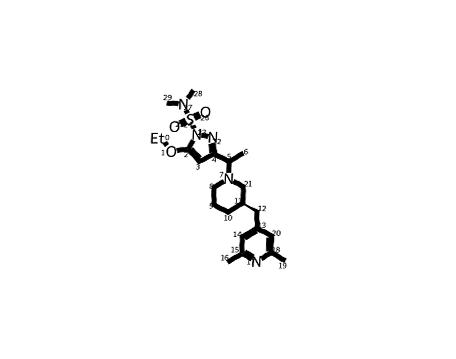 CCOc1cc(C(C)N2CCC[C@H](Cc3cc(C)nc(C)c3)C2)nn1S(=O)(=O)N(C)C